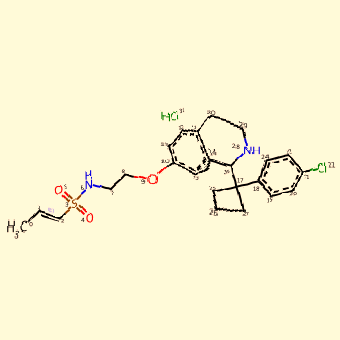 C/C=C/S(=O)(=O)NCCOc1ccc2c(c1)C(C1(c3ccc(Cl)cc3)CCC1)NCC2.Cl